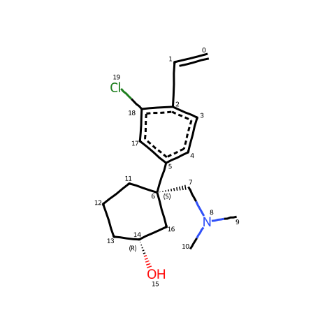 C=Cc1ccc([C@]2(CN(C)C)CCC[C@@H](O)C2)cc1Cl